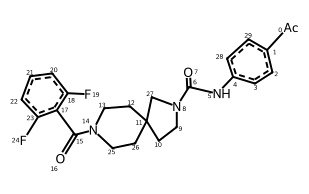 CC(=O)c1ccc(NC(=O)N2CCC3(CCN(C(=O)c4c(F)cccc4F)CC3)C2)cc1